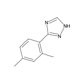 Cc1ccc(-c2nc[nH]n2)c(C)c1